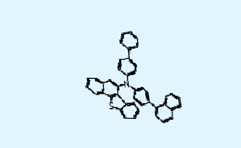 c1ccc(-c2ccc(N(c3ccc(-c4cccc5ccccc45)cc3)c3cc4ccccc4c4sc5ccccc5c34)cc2)cc1